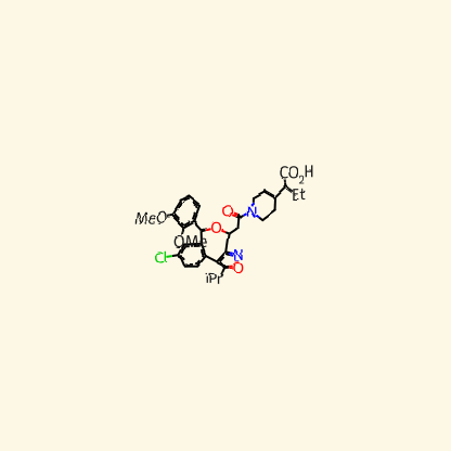 CCC(C(=O)O)C1CCN(C(=O)CC2OC(c3cccc(OC)c3OC)c3cc(Cl)ccc3-c3c2noc3C(C)C)CC1